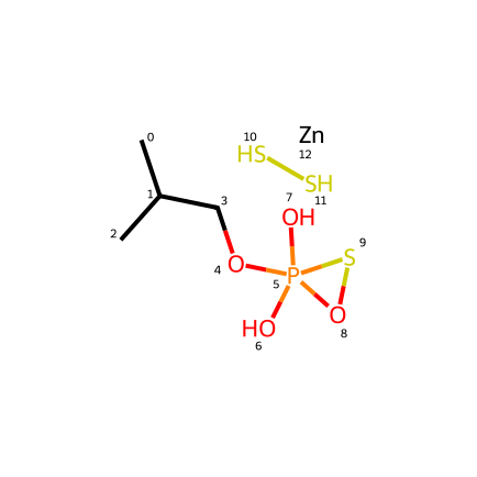 CC(C)COP1(O)(O)OS1.SS.[Zn]